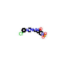 CS(=O)(=O)N1CCC2(CC1)CC(CCN1CCN(c3cccc(Cl)c3)CC1)NC2=O